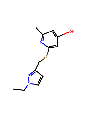 CCn1ccc(CSc2cc(O)cc(C)n2)n1